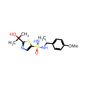 COc1ccc([C@@H](C)NS(=N)(=O)c2cnc(C(C)(C)O)s2)cc1